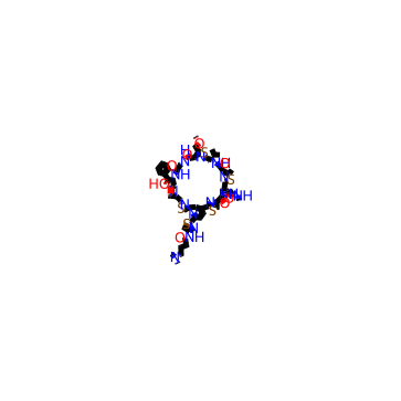 CNC(=O)C[C@@H]1NC(=O)c2csc(n2)-c2ccc(-c3nc(NC(=O)CCCN(C)C)cs3)nc2-c2csc(n2)-c2csc(n2)[C@H]([C@@H](O)c2ccccc2)NC(=O)CNC(=O)c2nc(sc2COC)[C@H](C(C)C)NC(=O)c2nc1sc2C